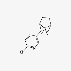 C[N+]1(C)C2CCC1C(c1ccc(Cl)nc1)C2